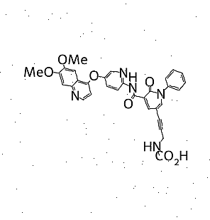 COc1cc2nccc(Oc3ccc(NC(=O)c4cc(C#CCNC(=O)O)cn(-c5ccccc5)c4=O)nc3)c2cc1OC